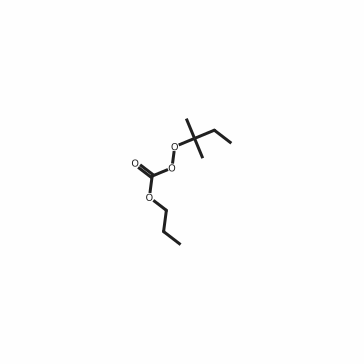 CCCOC(=O)OOC(C)(C)CC